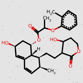 Cc1ccccc1OC(C)C(=O)O[C@H]1C[C@H](O)C=C2C=C[C@H](C)[C@H](CCC3C(=O)OCCC3O)[C@H]21